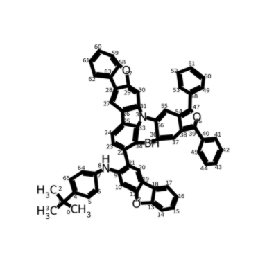 CC(C)(C)c1ccc(Nc2cc3oc4ccccc4c3cc2-c2ccc3c4cc5c(cc4n4c3c2Bc2cc3c(-c6ccccc6)oc(-c6ccccc6)c3cc2-4)oc2ccccc25)cc1